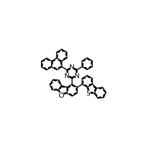 c1ccc(-c2nc(-c3cc4ccccc4c4ccccc34)nc(-c3c(-c4cccc5c4sc4ccccc45)ccc4oc5ccccc5c34)n2)cc1